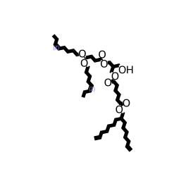 C=CCCCCCC(CCCCCC=C)COC(=O)CCCCC(=O)OCC(CO)COC(=O)CCC(OCCCC/C=C\CC)OCCCC/C=C\CC